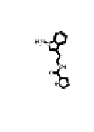 Nn1cc(CCNC(=O)C2CCCN2)c2ccccc21